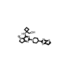 [O-][S@+]1CCc2nc(N3CCC(c4nc5sccc5s4)CC3)nc(NC3(CO)CCC3)c21